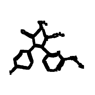 CCC(C)Nc1nccc(-c2c(-c3ccc(F)cc3)c(=O)n(C)n2C)n1